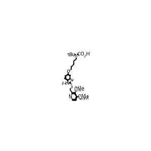 COc1ccnc(CSc2nc3cc(OCCCCCN(C(=O)O)C(C)(C)C)ccc3[nH]2)c1OC